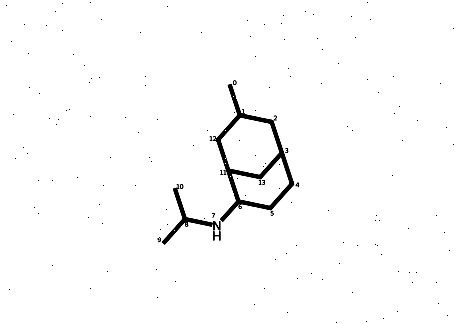 CC1CC2CCC(NC(C)C)C(C1)C2